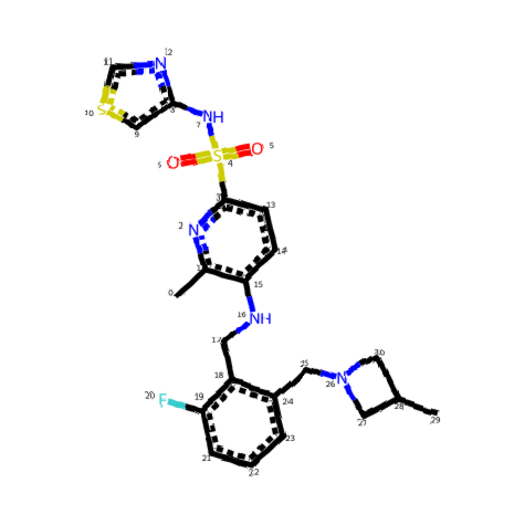 Cc1nc(S(=O)(=O)Nc2cscn2)ccc1NCc1c(F)cccc1CN1CC(C)C1